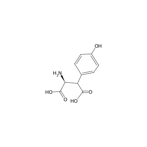 N[C@H](C(=O)O)C(C(=O)O)c1ccc(O)cc1